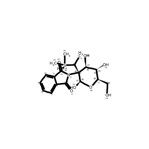 CC([C@]1(N2C(=O)c3ccccc3C2=O)[C@H](O)O[C@H](CO)[C@@H](O)[C@@H]1O)[Si](C)(C)C